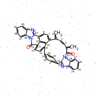 C=c1ccc(=C)c2ccc3c4c(ccc(c5ccc(cc5)c5nc6ccccc6n5c1=O)c24)c(=O)n1c2ccccc2nc31